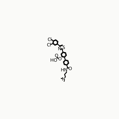 CN(C)CCCNC(=O)c1ccc(-c2ccc(-c3nc(-c4ccc(Cl)c(Cl)c4)cs3)cc2OC(=O)O)cc1